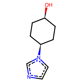 O[C@H]1CC[C@@H](n2ccnc2)CC1